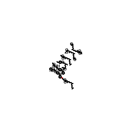 C#CCOC(=O)/C=C(C)/C=C/CC(C)CCCC(C)C.CC(COc1ccc(Oc2ccccc2)cc1)Oc1ccccn1.CCOC(=O)/C=C(C)/C=C/CC(C)CCCC(C)C.CCOC(=O)NCCOc1ccc(Oc2ccccc2)cc1.CCSC(=O)/C=C(C)/C=C/CC(C)CCCC(C)(C)OC.CCc1ccc(OCCC(CC)CCC2OC2(C)CC)cc1.COC(C)(C)CCCC(C)C/C=C/C(C)=C/C(=O)OC(C)C